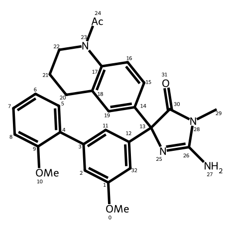 COc1cc(-c2ccccc2OC)cc(C2(c3ccc4c(c3)CCCN4C(C)=O)N=C(N)N(C)C2=O)c1